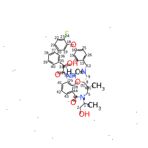 CC(CO)N1C[C@@H](C)[C@@H](CN(C)Cc2ccc(Oc3ccccc3F)cc2)Oc2c(NC(=O)[C@H](O)c3ccccc3)cccc2C1=O